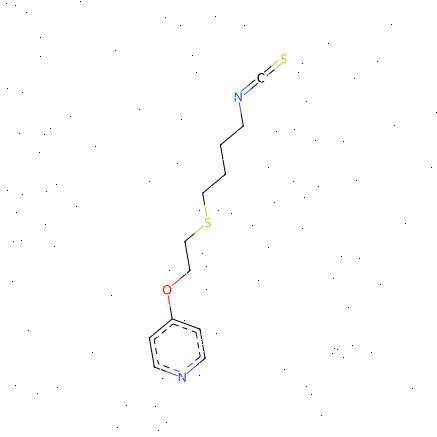 S=C=NCCCCSCCOc1ccncc1